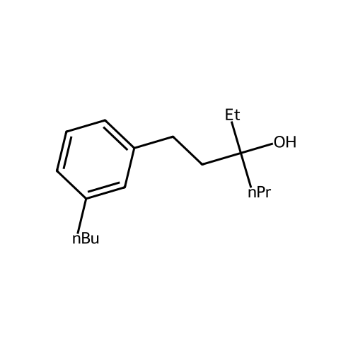 CCCCc1cccc(CCC(O)(CC)CCC)c1